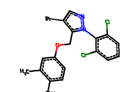 Cc1cc(OCc2c(C(C)C)cnn2-c2c(Cl)cccc2Cl)ccc1C=O